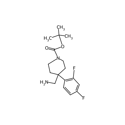 CC(C)(C)OC(=O)N1CCC(CN)(c2ccc(F)cc2F)CC1